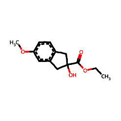 CCOC(=O)C1(O)Cc2ccc(OC)cc2C1